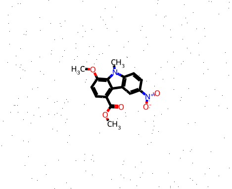 COC(=O)c1ccc(OC)c2c1c1cc([N+](=O)[O-])ccc1n2C